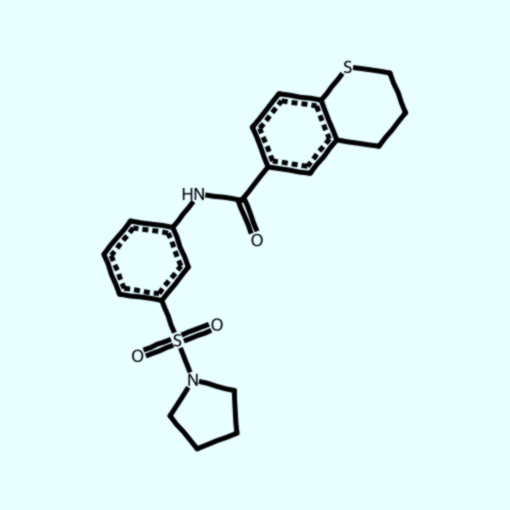 O=C(Nc1cccc(S(=O)(=O)N2CCCC2)c1)c1ccc2c(c1)CCCS2